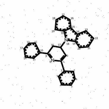 C1=C(c2ccccc2)N=C(c2ccccc2)CC1n1c2ccccc2c2ccccc21